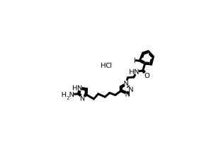 Cl.Nc1nc(CCCCCc2cn(CCNC(=O)c3ccccc3I)nn2)c[nH]1